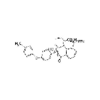 CNC(=O)c1cccc(C(=O)Nc2ccc(Oc3ccc(C)cc3)cc2)c1-c1c(C(=O)O)cccc1C(=O)O